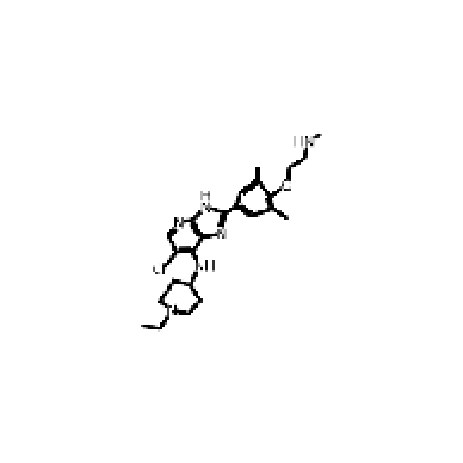 CCN1CCC(Nc2c(Cl)cnc3[nH]c(-c4cc(C)c(OCCNC)c(C)c4)nc23)CC1